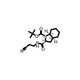 CC(C)(C)OC(=O)N1[C@H](C(=O)NCCC#N)C[C@@H]2CCCC[C@@H]21